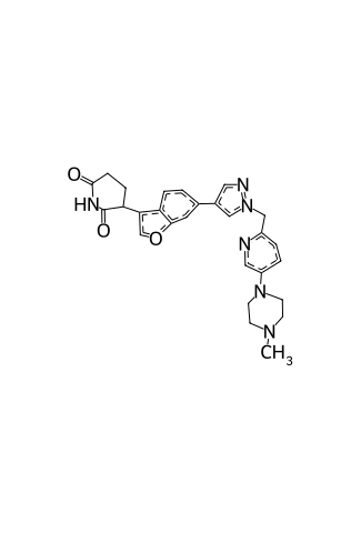 CN1CCN(c2ccc(Cn3cc(-c4ccc5c(C6CCC(=O)NC6=O)coc5c4)cn3)nc2)CC1